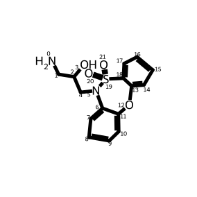 NCC(O)CN1c2ccccc2Oc2ccccc2S1(=O)=O